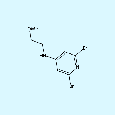 COCCNc1cc(Br)nc(Br)c1